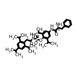 CC(C)c1cc(C(C)C)c(CC(=O)NS(=O)(=O)Oc2c(C(C)C)cc(NC(=O)[C@@H](N)Cc3ccccc3)cc2C(C)C)c(C(C)C)c1